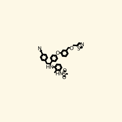 Cc1c(NC(Cc2ccc(C#N)cc2)c2ccc(Oc3cccc(COCc4cncs4)c3)cc2)cccc1NS(C)(=O)=O